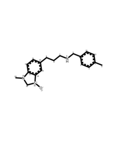 Cc1ccc(CNCCCc2ccc3c(c2)[S+]([O-])CN3C)cc1